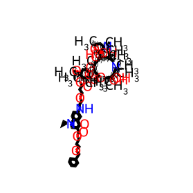 CC[C@H]1OC(=O)[C@H](C)[C@@H](O[C@H]2C[C@@](C)(OC)[C@@H](OC(=O)CCOCCNc3ccc4c(c3)c(=O)c(C(=O)OCCCOCc3ccccc3)cn4C3CC3)[C@H](C)O2)[C@H](C)[C@@H](O[C@@H]2O[C@H](C)C[C@H](N(C)C)[C@@H]2O)[C@](C)(O)C[C@@H](C)CN(C)[C@H](C)[C@@H](O)[C@]1(C)O